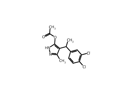 CC(=O)Oc1[nH]nc(C)c1C(C)c1ccc(Cl)c(Cl)c1